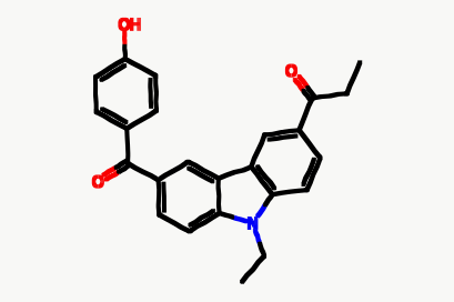 CCC(=O)c1ccc2c(c1)c1cc(C(=O)c3ccc(O)cc3)ccc1n2CC